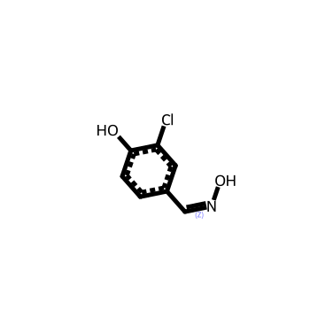 O/N=C\c1ccc(O)c(Cl)c1